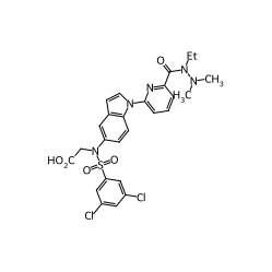 CCN(C(=O)c1cccc(-n2ccc3cc(N(CC(=O)O)S(=O)(=O)c4cc(Cl)cc(Cl)c4)ccc32)n1)N(C)C